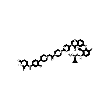 CN(SNc1ccc(F)c(Oc2ccc3ncn(-c4cnc(N5CCN(C(=O)CN6CCC(c7ccc(NC8CCC(=O)NC8=O)cc7F)CC6)CC5)nc4)c(=O)c3c2)c1C#N)C1CC1